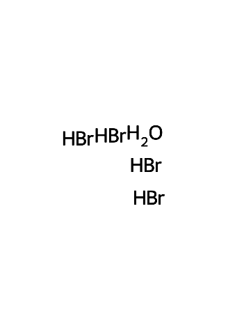 Br.Br.Br.Br.O